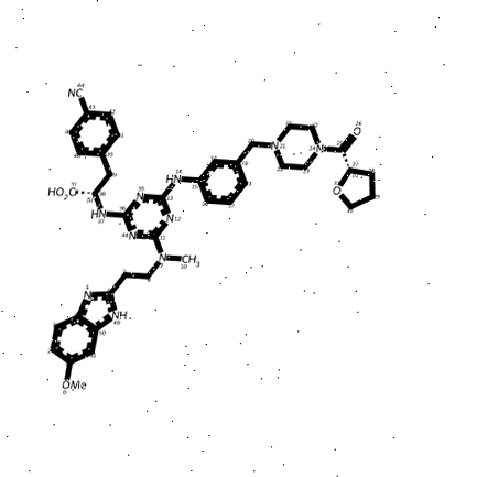 COc1ccc2nc(CCN(C)c3nc(Nc4cccc(CN5CCN(C(=O)[C@@H]6CCCO6)CC5)c4)nc(N[C@@H](Cc4ccc(C#N)cc4)C(=O)O)n3)[nH]c2c1